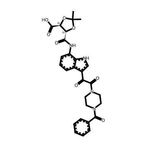 CC1(C)O[C@H](C(=O)O)[C@@H](C(=O)Nc2cccc3c(C(=O)C(=O)N4CCN(C(=O)c5ccccc5)CC4)c[nH]c23)O1